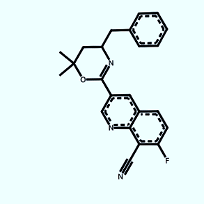 CC1(C)CC(Cc2ccccc2)N=C(c2cnc3c(C#N)c(F)ccc3c2)O1